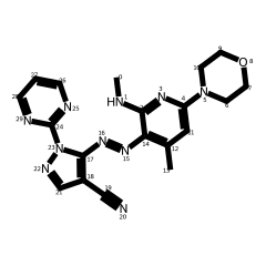 CNc1nc(N2CCOCC2)cc(C)c1/N=N/c1c(C#N)cnn1-c1ncccn1